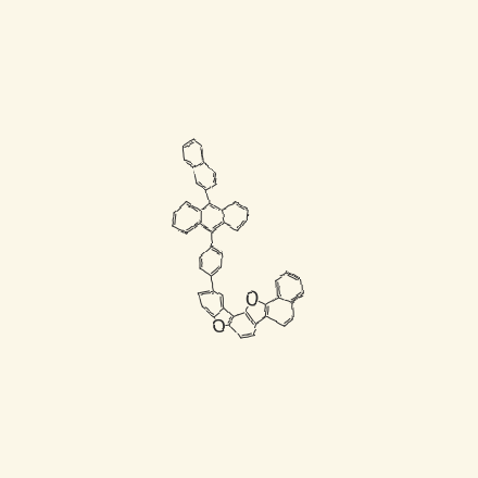 c1ccc2cc(-c3c4ccccc4c(-c4ccc(-c5ccc6oc7ccc8c9ccc%10ccccc%10c9oc8c7c6c5)cc4)c4ccccc34)ccc2c1